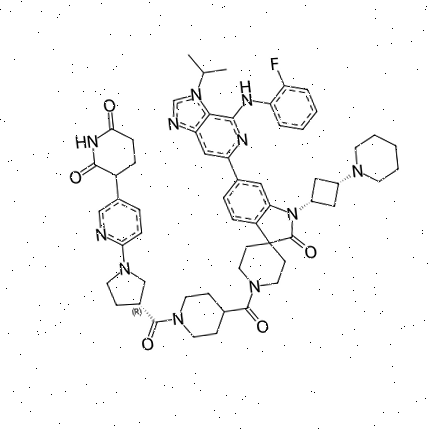 CC(C)n1cnc2cc(-c3ccc4c(c3)N([C@H]3C[C@@H](N5CCCCC5)C3)C(=O)C43CCN(C(=O)C4CCN(C(=O)[C@@H]5CCN(c6ccc(C7CCC(=O)NC7=O)cn6)C5)CC4)CC3)nc(Nc3ccccc3F)c21